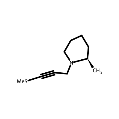 CSC#CCN1CCCC[C@H]1C